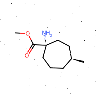 COC(=O)[C@]1(N)CCC[C@H](C)CC1